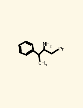 CC(C)CC(N)C(C)c1ccccc1